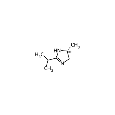 CC(C)C1=NC[C@@H](C)N1